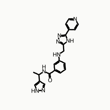 CC(NC(=O)c1cccc(NCc2nnc(-c3ccncc3)[nH]2)c1)c1cn[nH]c1